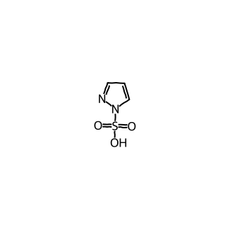 O=S(=O)(O)n1cccn1